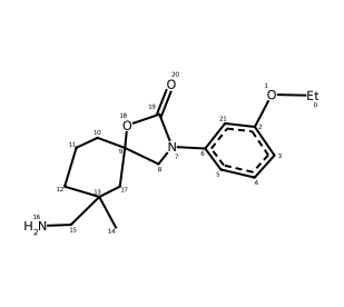 CCOc1cccc(N2CC3(CCCC(C)(CN)C3)OC2=O)c1